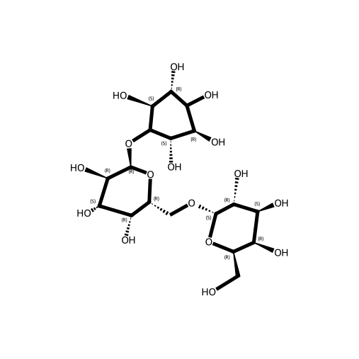 OC[C@H]1O[C@H](OC[C@H]2O[C@H](OC3[C@@H](O)[C@H](O)C(O)[C@@H](O)[C@@H]3O)[C@H](O)[C@@H](O)[C@H]2O)[C@H](O)[C@@H](O)[C@H]1O